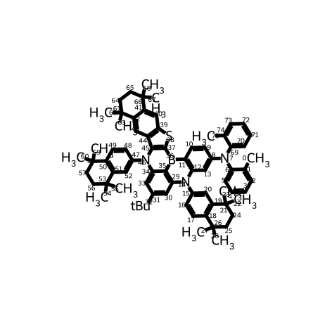 Cc1ccccc1N(c1ccc2c(c1)N(c1ccc3c(c1)C(C)(C)CCC3(C)C)c1cc(C(C)(C)C)cc3c1B2c1sc2cc4c(cc2c1N3c1ccc2c(c1)C(C)(C)CCC2(C)C)C(C)(C)CCC4(C)C)c1ccccc1C